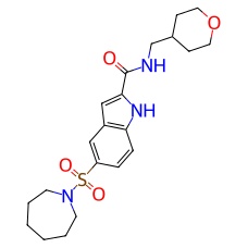 O=C(NCC1CCOCC1)c1cc2cc(S(=O)(=O)N3CCCCCC3)ccc2[nH]1